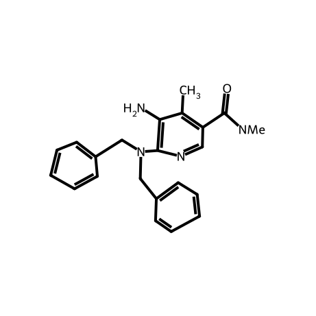 CNC(=O)c1cnc(N(Cc2ccccc2)Cc2ccccc2)c(N)c1C